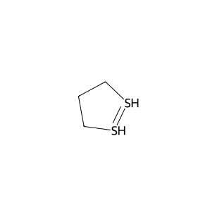 C1C[SH]=[SH]C1